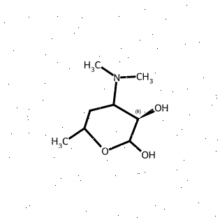 CC1CC(N(C)C)[C@@H](O)C(O)O1